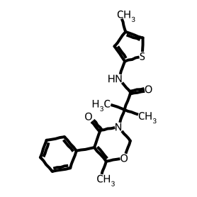 CC1=C(c2ccccc2)C(=O)N(C(C)(C)C(=O)Nc2cc(C)cs2)CO1